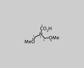 COCN(COC)C(=O)O